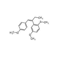 CCC(=Cc1ccc(OC)cc1)c1cc(OC)ccc1SC